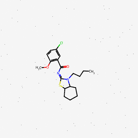 CCCCN1/C(=N\C(=O)c2cc(Cl)ccc2OC)SC2CCCCC21